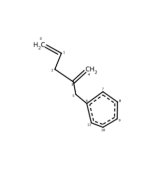 C=CCC(=C)Cc1ccccc1